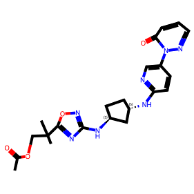 CC(=O)OCC(C)(C)c1nc(N[C@H]2CC[C@H](Nc3ccc(-n4ncccc4=O)cn3)C2)no1